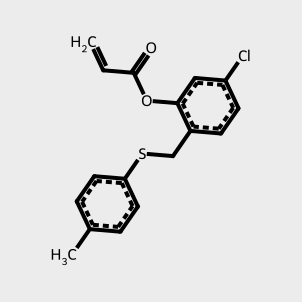 C=CC(=O)Oc1cc(Cl)ccc1CSc1ccc(C)cc1